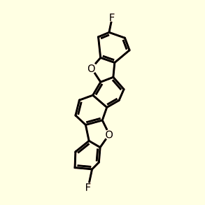 Fc1ccc2c(c1)oc1c2ccc2c1ccc1c3ccc(F)cc3oc12